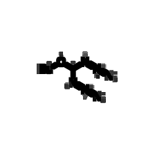 CCC(C)OC(N=[N+]=[N-])N=[N+]=[N-]